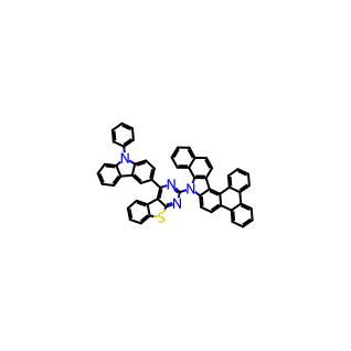 c1ccc(-n2c3ccccc3c3cc(-c4nc(-n5c6ccc7c8ccccc8c8ccccc8c7c6c6ccc7ccccc7c65)nc5sc6ccccc6c45)ccc32)cc1